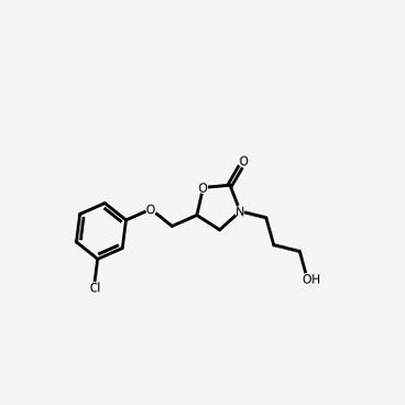 O=C1OC(COc2cccc(Cl)c2)CN1CCCO